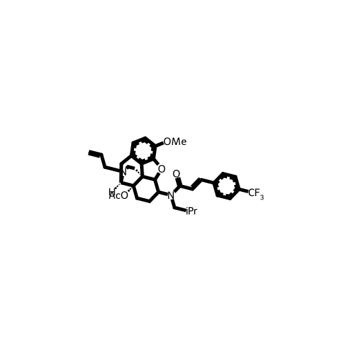 C=CCN1CC[C@]23c4c5ccc(OC)c4OC2C(N(CC(C)C)C(=O)/C=C/c2ccc(C(F)(F)F)cc2)CC[C@@]3(OC(C)=O)[C@H]1C5